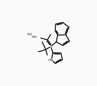 C[C](C)=[Zr]([c]1ccc[nH]1)([CH]1C=Cc2ccccc21)[C](C)(C)C.Cl.Cl